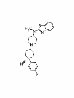 CN(c1nc2ccccc2s1)C1CCN([C@H]2CC[C@](C#N)(c3ccc(F)cc3)CC2)CC1